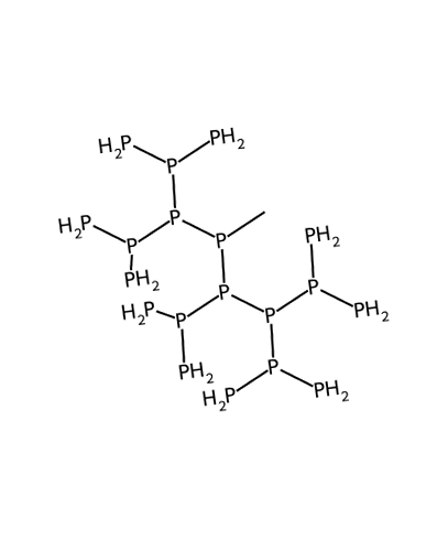 CP(P(P(P)P)P(P)P)P(P(P)P)P(P(P)P)P(P)P